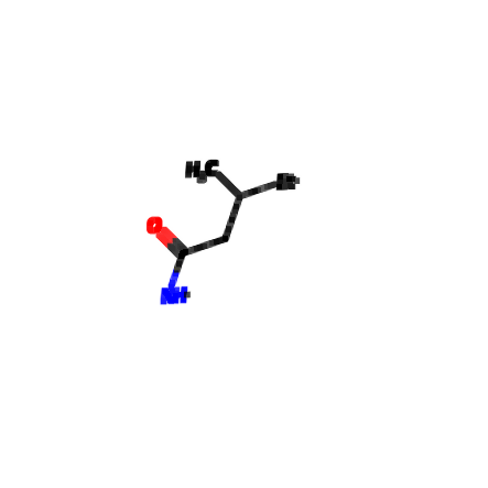 C[CH]C(C)CC([NH])=O